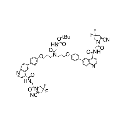 CC(C)(C)OC(=O)NCC(=O)N(CCCOc1ccc(-c2ccc3nccc(C(=O)NCC(=O)N4CC(F)(F)C[C@H]4C#N)c3c2)cc1)CCCOc1ccc(-c2ccc3nccc(C(=O)NCC(=O)N4CC(F)(F)C[C@H]4C#N)c3c2)cc1